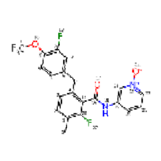 Cc1ccc(Cc2ccc(OC(F)(F)F)c(F)c2)c(C(=O)Nc2ccc[n+]([O-])c2)c1F